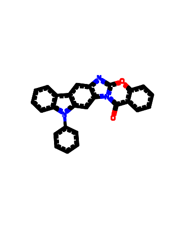 O=c1c2ccccc2oc2nc3cc4c5ccccc5n(-c5ccccc5)c4cc3n12